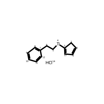 C1=CC[C]([Ti][CH2]Cc2ccccc2)=C1.Cl